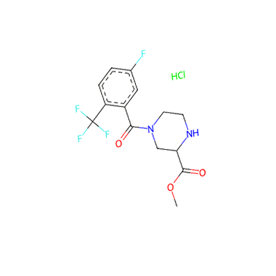 COC(=O)C1CN(C(=O)c2cc(F)ccc2C(F)(F)F)CCN1.Cl